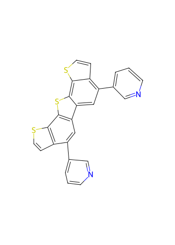 c1cncc(-c2cc3c4cc(-c5cccnc5)c5ccsc5c4sc3c3sccc23)c1